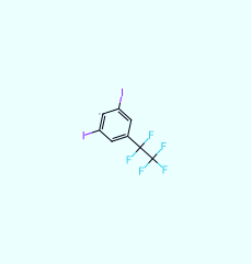 FC(F)(F)C(F)(F)c1cc(I)[c]c(I)c1